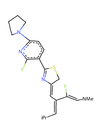 CN/C=C(F)/C(/C=C1\CSC(c2ccc(N3CCCC3)nc2F)=N1)=C/C(C)C